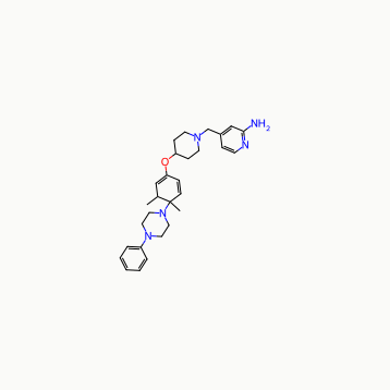 CC1C=C(OC2CCN(Cc3ccnc(N)c3)CC2)C=CC1(C)N1CCN(c2ccccc2)CC1